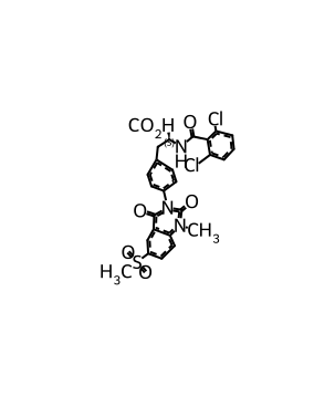 Cn1c(=O)n(-c2ccc(C[C@H](NC(=O)c3c(Cl)cccc3Cl)C(=O)O)cc2)c(=O)c2cc(S(C)(=O)=O)ccc21